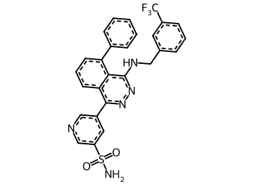 NS(=O)(=O)c1cncc(-c2nnc(NCc3cccc(C(F)(F)F)c3)c3c(-c4ccccc4)cccc23)c1